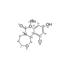 CC(C)(C)OC(=O)N1CCCOCC1c1ccc(O)cc1Cl